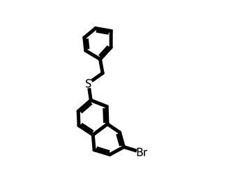 Brc1ccc2ccc(SCc3ccccc3)cc2c1